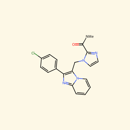 CNC(=O)c1nccn1Cc1c(-c2ccc(Cl)cc2)nc2ccccn12